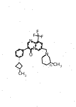 C[C@H]1CCCN(Cc2cc(C(F)(F)F)c3ncc(-c4cccc([C@H]5C[C@H](C)C5)c4)c(=O)n3c2)C1